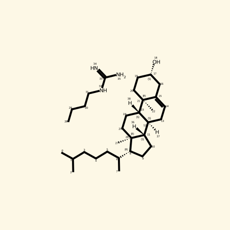 CC(C)CCCC(C)[C@H]1CC[C@H]2[C@@H]3CC=C4C[C@@H](O)CC[C@]4(C)[C@H]3CC[C@]12C.CCCCNC(=N)N